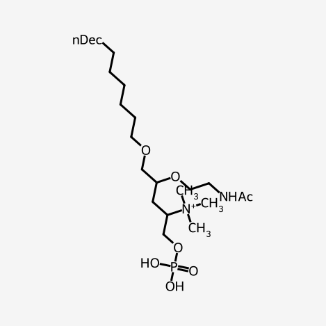 CCCCCCCCCCCCCCCCOCC(CC(COP(=O)(O)O)[N+](C)(C)C)OCCNC(C)=O